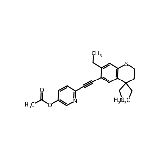 CCc1cc2c(cc1C#Cc1ccc(OC(C)=O)cn1)C(CC)(CC)CCS2